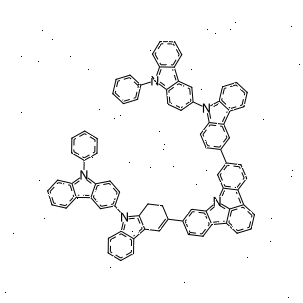 C1=C(c2ccc3c4cccc5c6ccc(-c7ccc8c(c7)c7ccccc7n8-c7ccc8c(c7)c7ccccc7n8-c7ccccc7)cc6n(c3c2)c45)CCc2c1c1ccccc1n2-c1ccc2c(c1)c1ccccc1n2-c1ccccc1